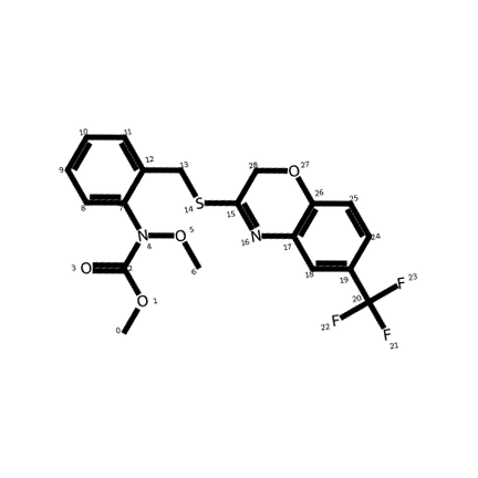 COC(=O)N(OC)c1ccccc1CSC1=Nc2cc(C(F)(F)F)ccc2OC1